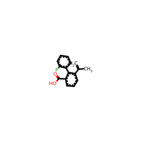 C=C(C)c1cccc(C(=O)O)c1-c1ccccc1F